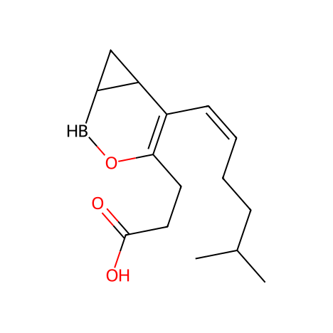 CC(C)CC/C=C\C1=C(CCC(=O)O)OBC2CC12